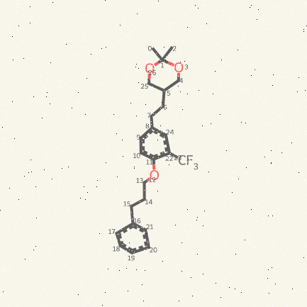 CC1(C)OCC(CCc2ccc(OCCCc3ccccc3)c(C(F)(F)F)c2)CO1